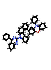 c1ccc(-c2nc(-n3c4cccc(-c5ccc6c(c5)Oc5ccccc5N6c5ccccc5)c4c4c5ccccc5ccc43)nc3ccccc23)cc1